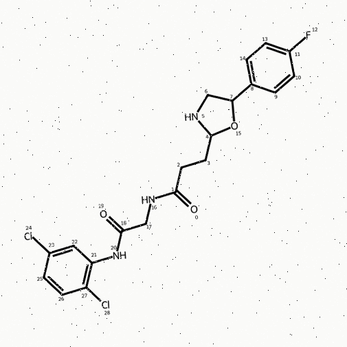 O=C(CCC1NCC(c2ccc(F)cc2)O1)NCC(=O)Nc1cc(Cl)ccc1Cl